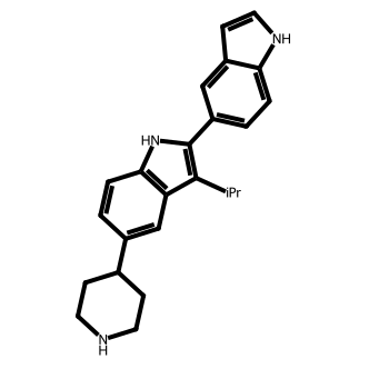 CC(C)c1c(-c2ccc3[nH]ccc3c2)[nH]c2ccc(C3CCNCC3)cc12